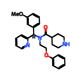 COc1cccc([C@H](c2ccccn2)N(CCOc2ccccc2)C(=O)C2CCNCC2)c1